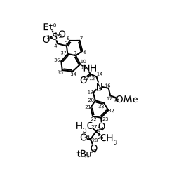 CCS(=O)(=O)Cc1cccc2c(NC(=O)CN(CCOC)Cc3ccc(OC(C)(C)C(=O)OC(C)(C)C)cc3)cccc12